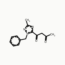 CC(=O)CC(=O)c1nc(C)nn1Cc1ccccc1